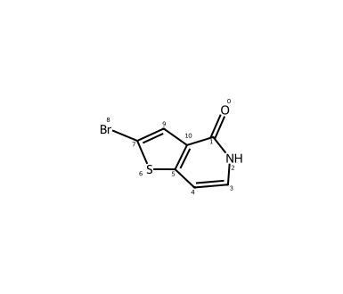 O=c1[nH]ccc2sc(Br)cc12